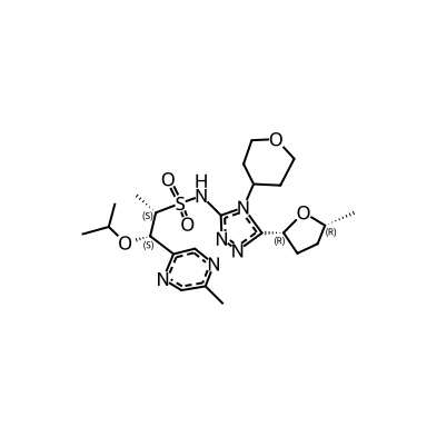 Cc1cnc([C@H](OC(C)C)[C@H](C)S(=O)(=O)Nc2nnc([C@H]3CC[C@@H](C)O3)n2C2CCOCC2)cn1